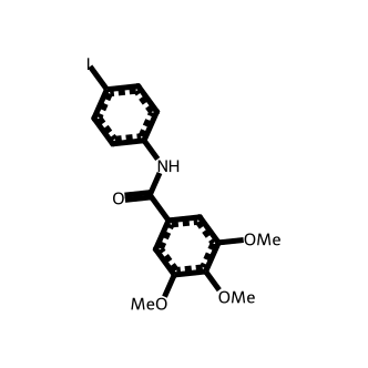 COc1cc(C(=O)Nc2ccc(I)cc2)cc(OC)c1OC